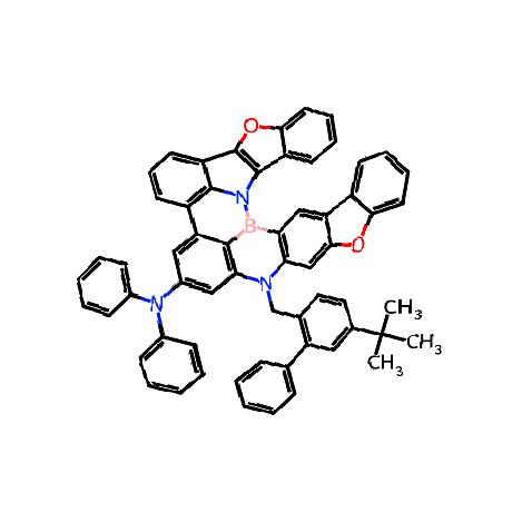 CC(C)(C)c1ccc(CN2c3cc4oc5ccccc5c4cc3B3c4c(cc(N(c5ccccc5)c5ccccc5)cc42)-c2cccc4c5oc6ccccc6c5n3c24)c(-c2ccccc2)c1